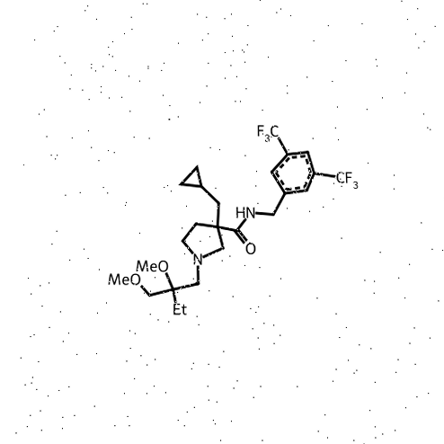 CCC(COC)(CN1CCC(CC2CC2)(C(=O)NCc2cc(C(F)(F)F)cc(C(F)(F)F)c2)C1)OC